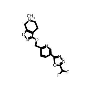 CN1CCc2c(OCc3ccc(-c4nnc(C(F)F)o4)cn3)noc2C1